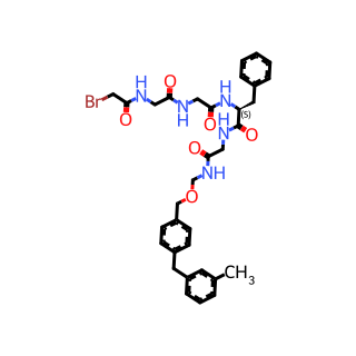 Cc1cccc(Cc2ccc(COCNC(=O)CNC(=O)[C@H](Cc3ccccc3)NC(=O)CNC(=O)CNC(=O)CBr)cc2)c1